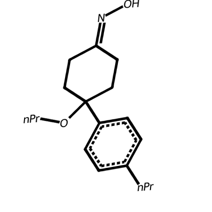 CCCOC1(c2ccc(CCC)cc2)CCC(=NO)CC1